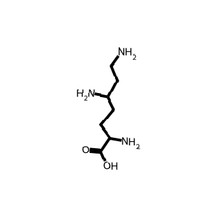 NCCC(N)CCC(N)C(=O)O